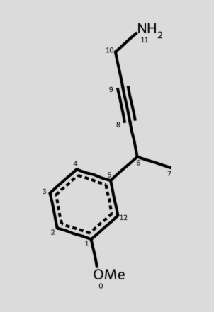 COc1cccc(C(C)C#CCN)c1